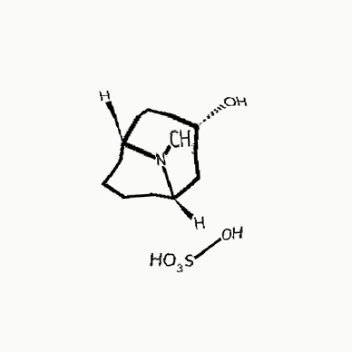 CN1[C@@H]2CC[C@H]1C[C@@H](O)C2.O=S(=O)(O)O